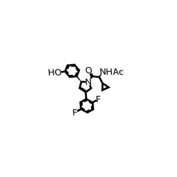 CC(=O)N[C@H](C(=O)N1CC(c2cc(F)ccc2F)=C[C@H]1c1cccc(O)c1)C1CC1